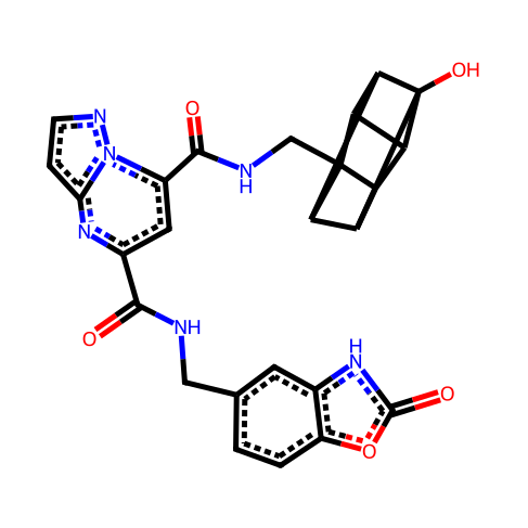 O=C(NCc1ccc2oc(=O)[nH]c2c1)c1cc(C(=O)NCC23C4C5C2C2C3C4C52O)n2nccc2n1